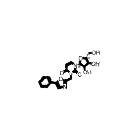 O=c1ccn([C@@H]2O[C@H](CO)C(O)C2O)c(=O)n1Cc1ncc(-c2ccccc2)o1